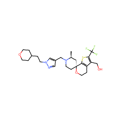 C[C@H]1C[C@@]2(CCN1Cc1cnn(CCC3CCOCC3)c1)OCCc1c2sc(C(F)(F)F)c1CO